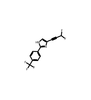 FC(F)C#Cc1c[nH]c(-c2ccc(C(F)(F)F)cc2)n1